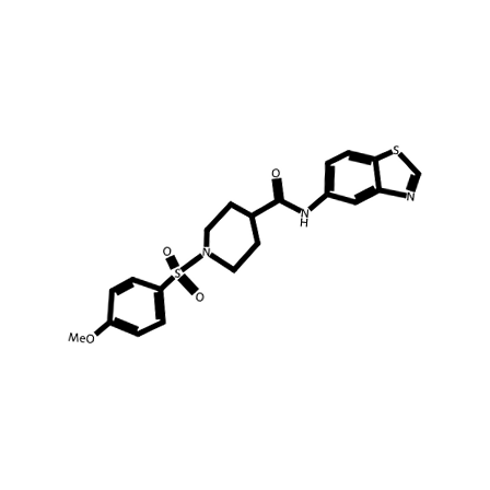 COc1ccc(S(=O)(=O)N2CCC(C(=O)Nc3ccc4scnc4c3)CC2)cc1